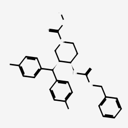 CC(C)(C)OC(=O)N1CC[C@@H](NC(=O)OCc2ccccc2)[C@@H](C(c2ccc(F)cc2)c2ccc(F)cc2)C1